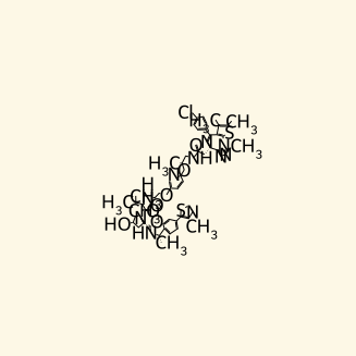 Cc1ncsc1-c1ccc([C@H](C)NC(=O)[C@@H]2C[C@@H](O)CN2C(=O)[C@@H](NC(=O)COc2ccc(O[C@H](C)CNC(=O)C[C@@H]3N=C(c4ccc(Cl)cc4)c4c(sc(C)c4C)-n4c(C)nnc43)nc2)C(C)(C)C)cc1